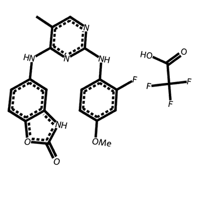 COc1ccc(Nc2ncc(C)c(Nc3ccc4oc(=O)[nH]c4c3)n2)c(F)c1.O=C(O)C(F)(F)F